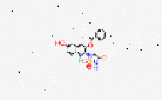 O=C1CN(c2c(OCc3ccccc3)cc3cc(O)ccc3c2F)S(=O)(=O)N1